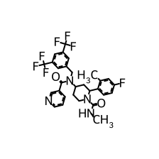 CNC(=O)N1CCC(N(Cc2cc(C(F)(F)F)cc(C(F)(F)F)c2)C(=O)c2cccnc2)CC1c1ccc(F)cc1C